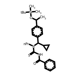 CCCN(C(=S)NC(=O)c1ccccc1)C(c1ccc(C(C)O[Si](C)(C)C(C)(C)C)cc1)C1CC1